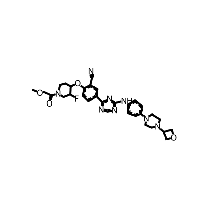 COCC(=O)N1CCC(Oc2ccc(-c3ncnc(Nc4ccc(N5CCN(C6COC6)CC5)cc4)n3)cc2C#N)C(F)C1